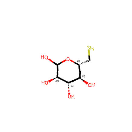 OC1O[C@H](CS)[C@@H](O)[C@H](O)[C@H]1O